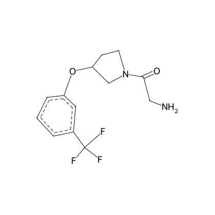 NCC(=O)N1CCC(Oc2cccc(C(F)(F)F)c2)C1